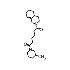 CC1CCCN(C(=O)CCCCC(=O)N2CCC3CCCC=C3C2)C1